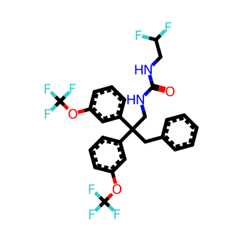 O=C(NCC(F)F)NCC(Cc1ccccc1)(c1cccc(OC(F)(F)F)c1)c1cccc(OC(F)(F)F)c1